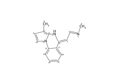 C/N=C/C=C1\Nc2c(C)ccn2-c2ccccc21